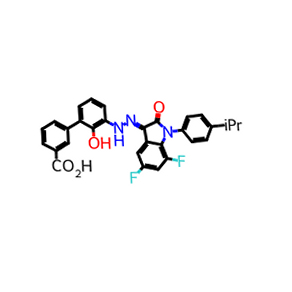 CC(C)c1ccc(N2C(=O)/C(=N/Nc3cccc(-c4cccc(C(=O)O)c4)c3O)c3cc(F)cc(F)c32)cc1